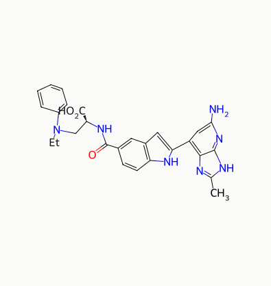 CCN(C[C@H](NC(=O)c1ccc2[nH]c(-c3cc(N)nc4[nH]c(C)nc34)cc2c1)C(=O)O)c1ccccc1